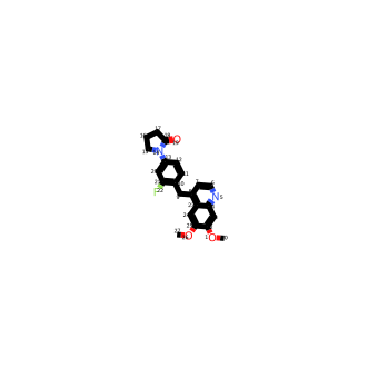 COc1cc2nccc(Cc3ccc(N4CCCC4=O)cc3F)c2cc1OC